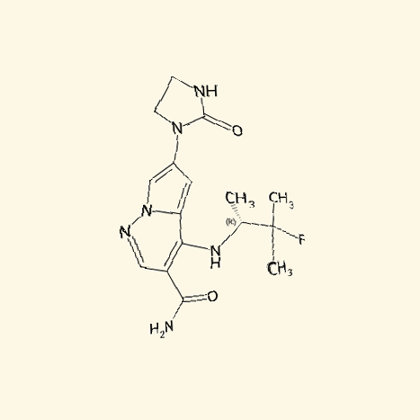 C[C@@H](Nc1c(C(N)=O)cnn2cc(N3CCNC3=O)cc12)C(C)(C)F